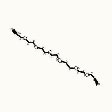 C#CCOCCOCCOCCOCCOCCOCC#C